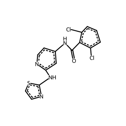 O=C(Nc1ccnc(Nc2nccs2)c1)c1c(Cl)cccc1Cl